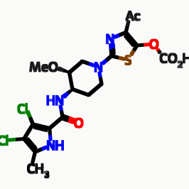 CO[C@H]1CN(c2nc(C(C)=O)c(OC(=O)O)s2)CC[C@H]1NC(=O)c1[nH]c(C)c(Cl)c1Cl